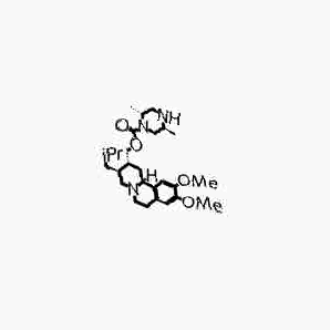 COc1cc2c(cc1OC)[C@H]1C[C@@H](COC(=O)N3C[C@H](C)NC[C@H]3C)[C@H](CC(C)C)CN1CC2